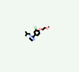 COCCOc1ccc(-c2nccn2CC(C)C)cc1Cl